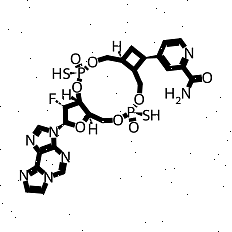 NC(=O)c1cc([C@@H]2C[C@@H]3CO[P@@](=O)(S)O[C@H]4[C@@H](F)[C@H](n5cnc6c5ncn5ccnc65)O[C@@H]4CO[P@](=O)(S)OCC32)ccn1